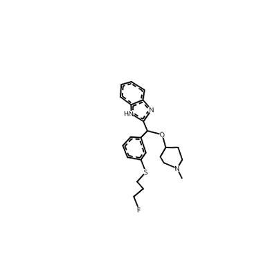 CN1CCC(OC(c2cccc(SCCCF)c2)c2nc3ccccc3[nH]2)CC1